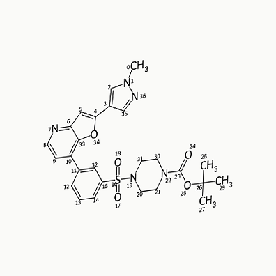 Cn1cc(-c2cc3nccc(-c4cccc(S(=O)(=O)N5CCN(C(=O)OC(C)(C)C)CC5)c4)c3o2)cn1